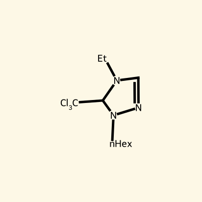 CCCCCCN1N=CN(CC)C1C(Cl)(Cl)Cl